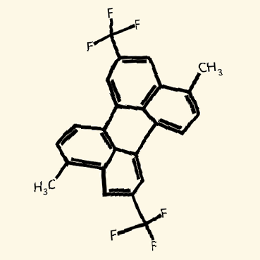 Cc1ccc2c3cc(C(F)(F)F)cc4c(C)ccc(c5cc(C(F)(F)F)cc1c25)c43